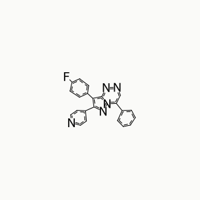 Fc1ccc(-c2c(-c3ccncc3)nn3c(-c4ccccc4)cnnc23)cc1